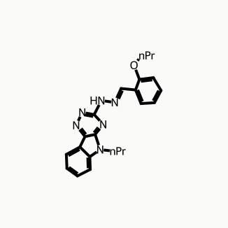 CCCOc1ccccc1C=NNc1nnc2c3ccccc3n(CCC)c2n1